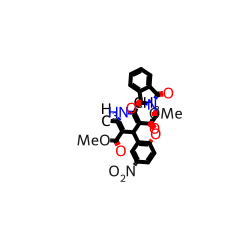 COC(=O)C1=C(C)NC(C)=C(C(=O)OC)C1c1cc([N+](=O)[O-])ccc1OCCN1C(=O)c2ccccc2C1=O